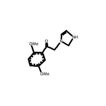 COc1ccc(OC)c(C(=O)CN2C=CNC2)c1